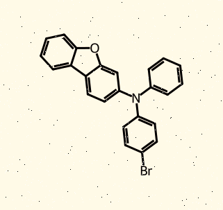 Brc1ccc(N(c2ccccc2)c2ccc3c(c2)oc2ccccc23)cc1